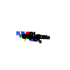 COc1ccc(CN(C)c2cc3c(cn2)cc(-c2cc(N)c(F)cc2F)c(=O)n3C)cc1